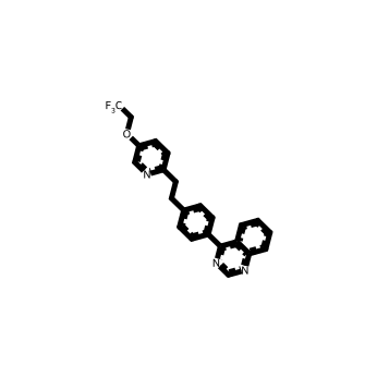 FC(F)(F)COc1ccc(CCc2ccc(-c3ncnc4ccccc34)cc2)nc1